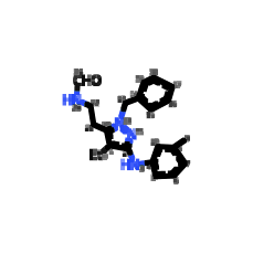 CCc1c(Nc2cccc(C)c2)nn(Cc2ccccc2)c1CCNC=O